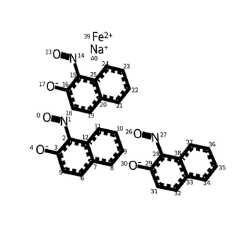 O=Nc1c([O-])ccc2ccccc12.O=Nc1c([O-])ccc2ccccc12.O=Nc1c([O-])ccc2ccccc12.[Fe+2].[Na+]